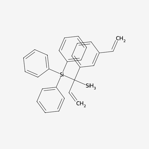 C=Cc1cccc(C([SiH3])(C=C)[Si](c2ccccc2)(c2ccccc2)c2ccccc2)c1